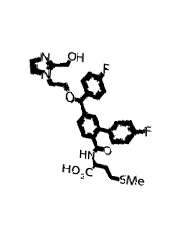 CSCC[C@H](NC(=O)c1ccc(C(OCCn2ccnc2CO)c2ccc(F)cc2)cc1-c1ccc(F)cc1)C(=O)O